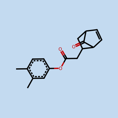 Cc1ccc(OC(=O)CC2CC3C=CC2C3=O)cc1C